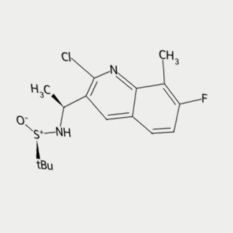 Cc1c(F)ccc2cc([C@H](C)N[S@+]([O-])C(C)(C)C)c(Cl)nc12